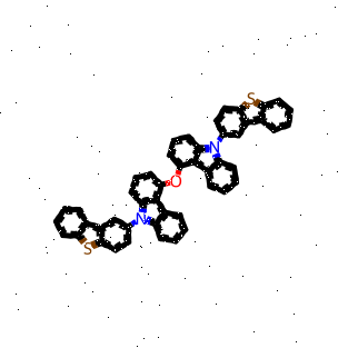 c1ccc2c(c1)sc1ccc(-n3c4ccccc4c4c(Oc5cccc6c5c5ccccc5n6-c5ccc6sc7ccccc7c6c5)cccc43)cc12